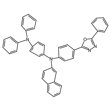 c1ccc(-c2nnc(-c3ccc(N(c4ccc(N(c5ccccc5)c5ccccc5)cc4)c4ccc5ccccc5c4)cc3)o2)cc1